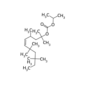 CCC(C)(C)CC(C)(C)/C=C\C(C)CC(C)(C)OC(=O)OC(C)C